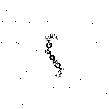 CCOC(=O)C1=CCN(S(=O)(=O)c2ccc(-c3cnn(C4CCN(C(=O)OC(C)(C)C)CC4)c3)cc2)CC1